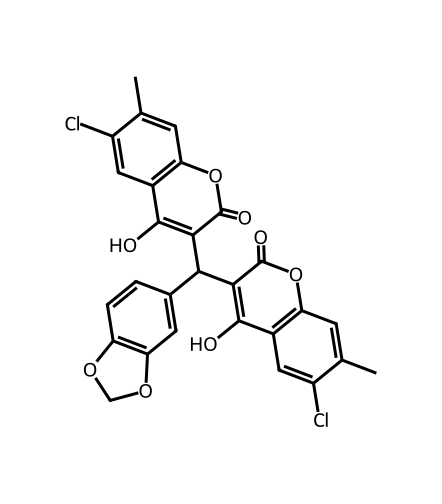 Cc1cc2oc(=O)c(C(c3ccc4c(c3)OCO4)c3c(O)c4cc(Cl)c(C)cc4oc3=O)c(O)c2cc1Cl